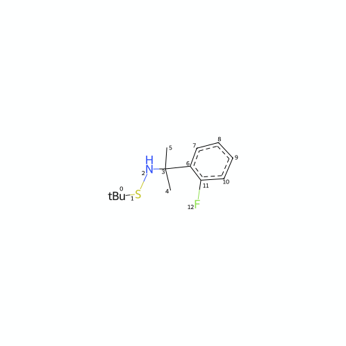 CC(C)(C)SNC(C)(C)c1ccccc1F